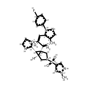 C=C(/C(C)=C\c1c(C)cnn1-c1ccc(F)cc1)[C@]12CN(S(=O)(=O)c3cnn(C)n3)C[C@H]1[C@@H]2c1ncco1